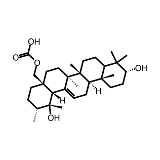 C[C@@H]1CC[C@]2(COC(=O)O)CC[C@]3(C)C(=CC[C@@H]4[C@@]5(C)CC[C@@H](O)C(C)(C)C5CC[C@]43C)[C@@H]2[C@]1(C)O